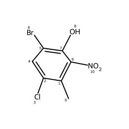 Cc1c(Cl)cc(Br)c(O)c1[N+](=O)[O-]